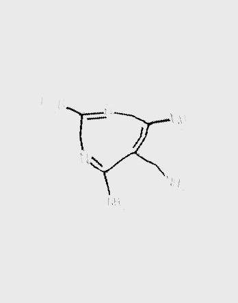 Bc1nc(N)c(N)c(N)n1